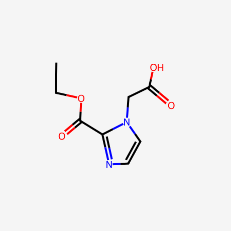 CCOC(=O)c1nccn1CC(=O)O